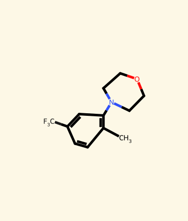 Cc1ccc(C(F)(F)F)cc1N1CCOCC1